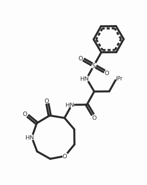 CC(C)CC(NS(=O)(=O)c1ccccc1)C(=O)NC1CCOCCNC(=O)C1=O